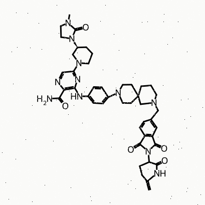 C=C1CCC(N2C(=O)c3ccc(CN4CCCC5(CCN(c6ccc(Nc7nc(N8CCC[C@H](N9CCN(C)C9=O)C8)cnc7C(N)=O)cc6)CC5)C4)cc3C2=O)C(=O)N1